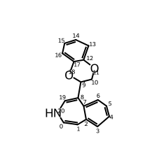 C1=Cc2ccccc2C([C]2COc3ccccc3O2)=CN1